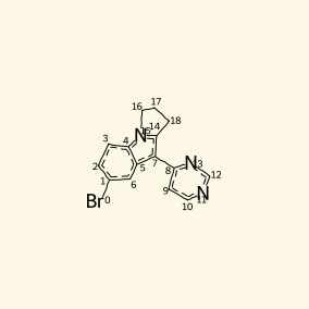 Brc1ccc2c(c1)c(-c1ccncn1)c1n2CCC1